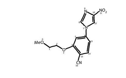 COCCOc1cc(-n2cnc([N+](=O)[O-])c2)ccc1C#N